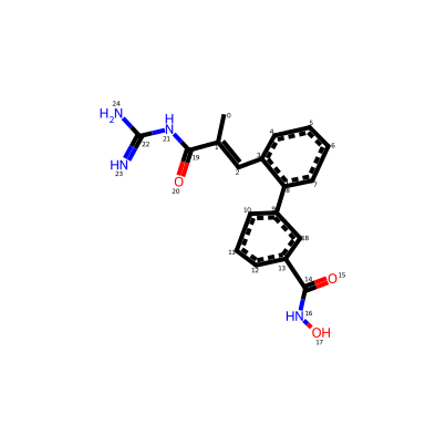 C/C(=C\c1ccccc1-c1cccc(C(=O)NO)c1)C(=O)NC(=N)N